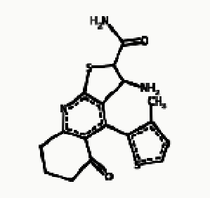 Cc1ccsc1-c1c2c(nc3c1C(N)C(C(N)=O)S3)CCCC2=O